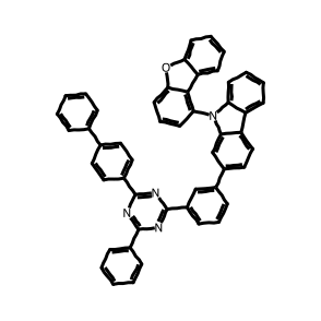 c1ccc(-c2ccc(-c3nc(-c4ccccc4)nc(-c4cccc(-c5ccc6c7ccccc7n(-c7cccc8oc9ccccc9c78)c6c5)c4)n3)cc2)cc1